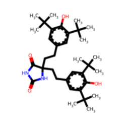 CC(C)(C)c1cc(CCC2(CCc3cc(C(C)(C)C)c(O)c(C(C)(C)C)c3)NC(=O)NC2=O)cc(C(C)(C)C)c1O